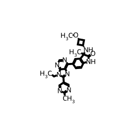 CCn1c(-c2cnc(C)nc2)nc2c(-c3ccc4c(c3)C(C)(N[C@H]3C[C@H](OC)C3)C(=O)N4)ncnc21